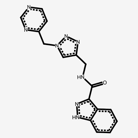 O=C(NCc1cn(Cc2ccncn2)nn1)c1n[nH]c2ccccc12